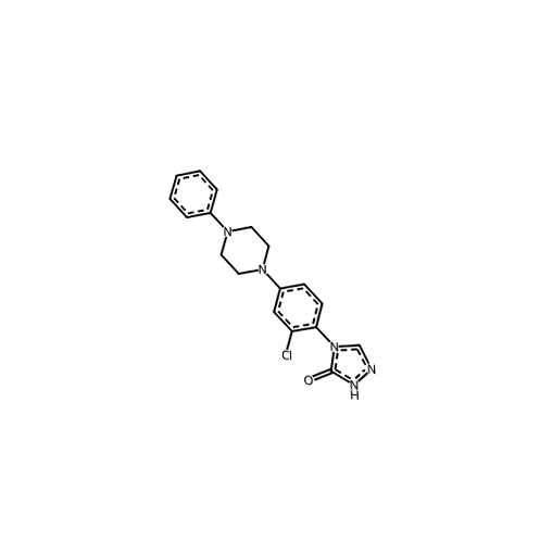 O=c1[nH]ncn1-c1ccc(N2CCN(c3ccccc3)CC2)cc1Cl